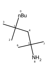 CCCCC(C)(C)CC(C)(C)N